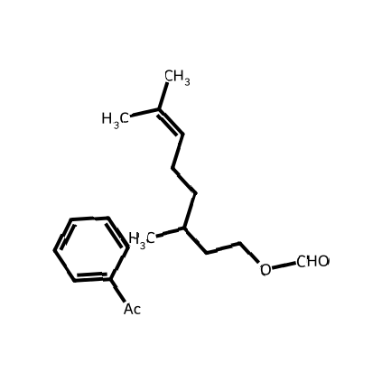 CC(=O)c1ccccc1.CC(C)=CCCC(C)CCOC=O